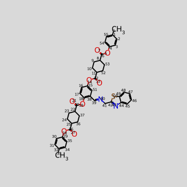 Cc1ccc(OC(=O)C2CCC(C(=O)Oc3ccc(OC(=O)C4CCC(C(=O)Oc5ccc(C)cc5)CC4)c(/C=N/Cc4nc5ccccc5s4)c3)CC2)cc1